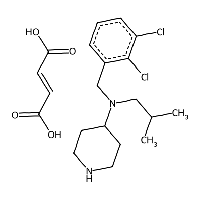 CC(C)CN(Cc1cccc(Cl)c1Cl)C1CCNCC1.O=C(O)C=CC(=O)O